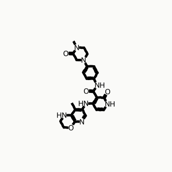 Cc1c(Nc2cc[nH]c(=O)c2C(=O)Nc2ccc(N3CCN(C)C(=O)C3)cc2)cnc2c1NCCO2